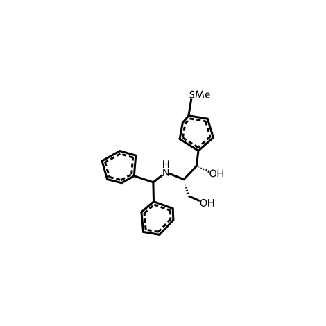 CSc1ccc([C@H](O)[C@H](CO)NC(c2ccccc2)c2ccccc2)cc1